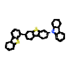 c1ccc2c(c1)sc1c(-c3ccc4c(c3)sc3cc(-n5c6ccccc6c6ccccc65)ccc34)cccc12